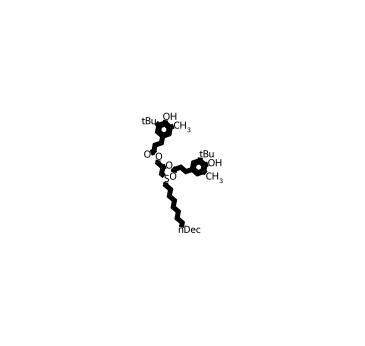 CCCCCCCCCCCCCCCCCCSCC(COC(=O)CCc1cc(C)c(O)c(C(C)(C)C)c1)OC(=O)CCc1cc(C)c(O)c(C(C)(C)C)c1